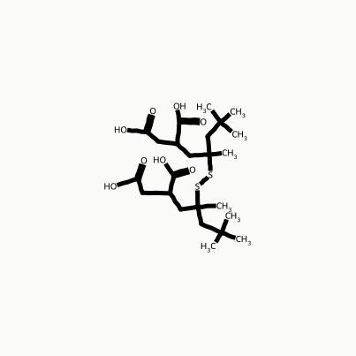 CC(C)(C)CC(C)(CC(CC(=O)O)C(=O)O)SSC(C)(CC(CC(=O)O)C(=O)O)CC(C)(C)C